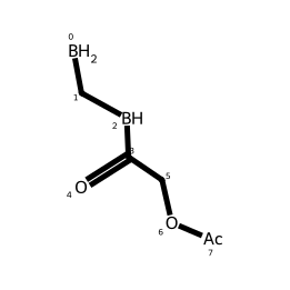 BCBC(=O)COC(C)=O